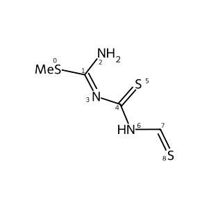 CS/C(N)=N/C(=S)NC=S